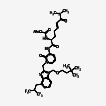 COC(=O)N[C@@H](CC/C=C/C(=O)N(C)C)C(=O)Nc1cccn(Cc2nc3c(CC(C(F)(F)F)C(F)(F)F)cccc3n2COCC[Si](C)(C)C)c1=O